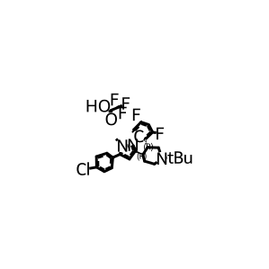 Cn1nc([C@@H]2CCN(C(C)(C)C)C[C@H]2c2ccc(F)cc2F)cc1-c1ccc(Cl)cc1.O=C(O)C(F)(F)F